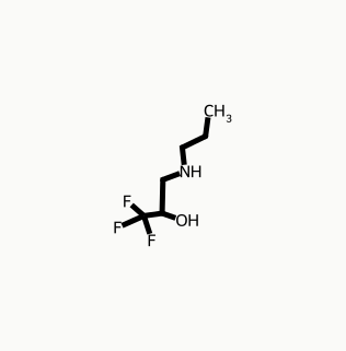 CCCNCC(O)C(F)(F)F